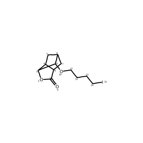 O=C1OC2C3CC(CC13)C2OCCCCI